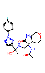 CC(=O)NC(CNC(C)(O)c1cnn(-c2ccc(F)cc2)n1)(C(N)=O)C1CCOCC1